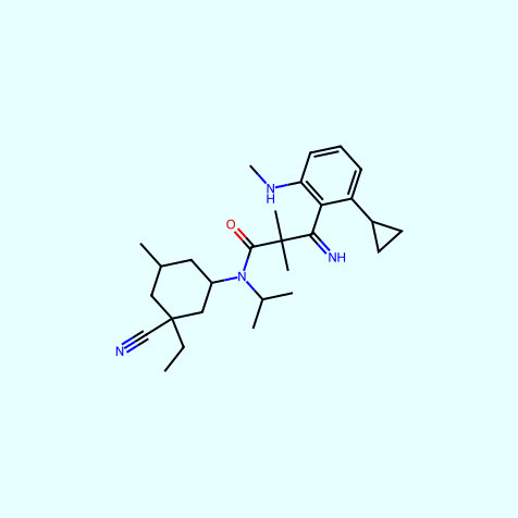 CCC1(C#N)CC(C)CC(N(C(=O)C(C)(C)C(=N)c2c(NC)cccc2C2CC2)C(C)C)C1